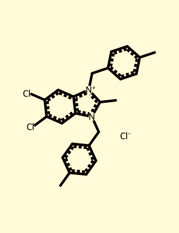 Cc1ccc(Cn2c(C)[n+](Cc3ccc(C)cc3)c3cc(Cl)c(Cl)cc32)cc1.[Cl-]